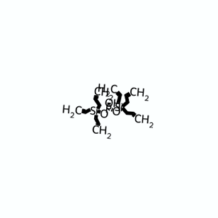 C=CC[Si](CC=C)(CC=C)OP(O)O[Si](CC=C)(CC=C)CC=C